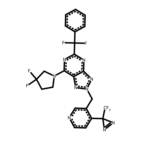 FC1(F)CCN(c2nc(C(F)(F)c3ccccc3)nc3nn(Cc4cnccc4C4(C(F)(F)F)N=N4)nc23)C1